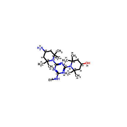 CCNc1nc(N2C(C)(C)CC(N)CC2(C)C)nc(N2C(C)(C)CC(O)CC2(C)C)n1